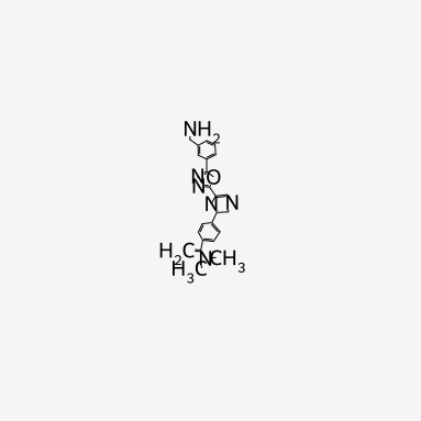 C=C(c1ccc(-c2cncc(-c3nnc(-c4cccc(CN)c4)o3)n2)cc1)N(C)C